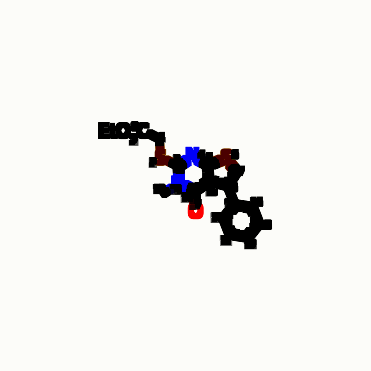 CCOC(=O)CSc1nc2scc(-c3ccccc3)c2c(=O)n1C